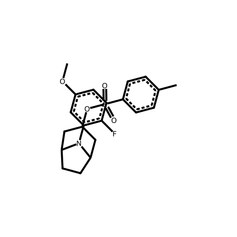 COc1ccc(F)c(N2C3CCC2CC(OS(=O)(=O)c2ccc(C)cc2)C3)c1